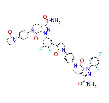 NC(=O)c1nn(-c2cc(F)c(F)c(C3CCN(c4ccc(N5CCc6c(C(N)=O)nn(-c7ccc(F)cc7F)c6C5=O)cc4)C3=O)c2)c2c1CCN(c1ccc(N3CCCC3=O)cc1)C2=O